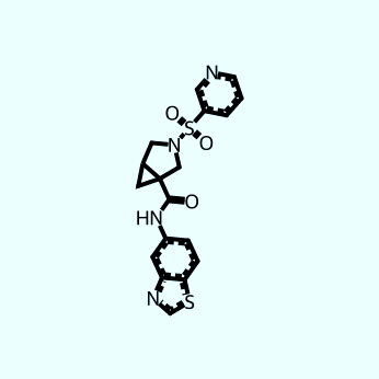 O=C(Nc1ccc2scnc2c1)C12CC1CN(S(=O)(=O)c1cccnc1)C2